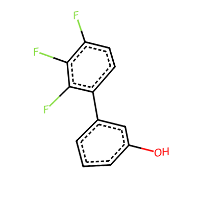 Oc1cccc(-c2ccc(F)c(F)c2F)c1